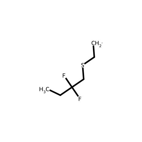 [CH2]CSCC(F)(F)CC